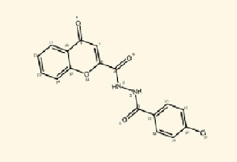 O=C(NNC(=O)c1cc(=O)c2ccccc2o1)c1ccc(Cl)cc1